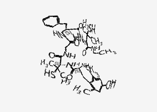 CCNC(=O)[C@H](NC(=O)[C@H](Cc1ccccc1)NC(=O)CNC(=O)[C@H](NC(=O)[C@@H](N)Cc1c(C)cc(O)cc1C)C(C)(C)S)C(C)(C)S